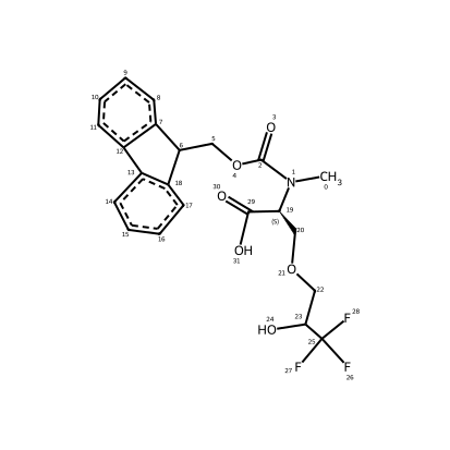 CN(C(=O)OCC1c2ccccc2-c2ccccc21)[C@@H](COCC(O)C(F)(F)F)C(=O)O